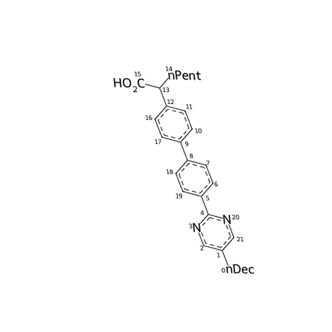 CCCCCCCCCCc1cnc(-c2ccc(-c3ccc(C(CCCCC)C(=O)O)cc3)cc2)nc1